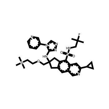 CC(C)(F)CNS(=O)(=O)c1c2c(cc3cnc(C4CC4)cc13)CC(COCC[Si](C)(C)C)(Nc1nncn1-c1cccnc1)C2